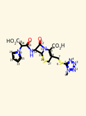 Cn1nnnc1SCC1=C(C(=O)O)N2C(=O)C(NC(=O)C(C(=O)O)n3cccc3)C2SC1